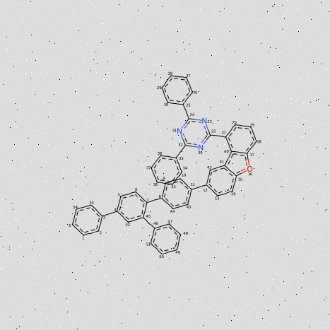 c1ccc(-c2ccc(-c3ccc(-c4ccc5oc6cccc(-c7nc(-c8ccccc8)nc(-c8ccccc8)n7)c6c5c4)cc3)c(-c3ccccc3)c2)cc1